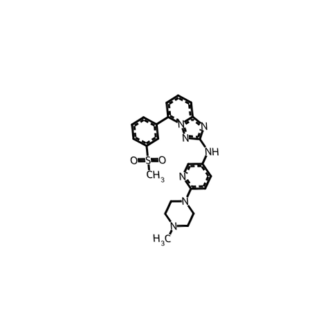 CN1CCN(c2ccc(Nc3nc4cccc(-c5cccc(S(C)(=O)=O)c5)n4n3)cn2)CC1